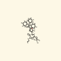 C=CCOC(=O)C(=CC(=O)OC(C)(C)C)c1csc(NC(c2ccccc2)(c2ccccc2)c2ccccc2)n1